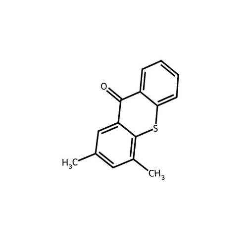 Cc1cc(C)c2sc3ccccc3c(=O)c2c1